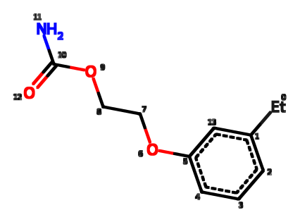 CCc1cccc(OCCOC(N)=O)c1